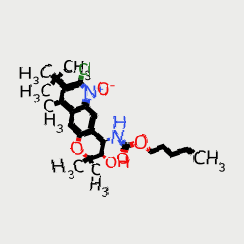 CCCCCOC(=O)N[C@H]1c2cc3c(cc2OC(C)(C)[C@@H]1O)c(C)c(C(C)(C)C)c(Cl)[n+]3[O-]